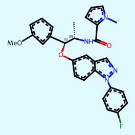 COc1cccc([C@H](Oc2ccc3c(cnn3-c3ccc(F)cc3)c2)[C@H](C)NC(=O)c2cccn2C)c1